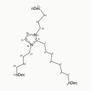 CCCCCCCCCCCCCCCCCc1n(CCCCCCCCCCCCC)cc[n+]1CCCCCCCCCCCCCC